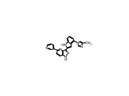 Cc1cn(-c2cccc3[nH]c(-c4n[nH]c5ccc(-c6cccnc6)nc45)cc23)cn1